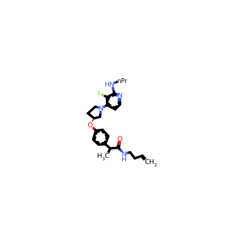 C=CCCNC(=O)C(C)c1ccc(O[C@@H]2CCN(c3ccnc(NCCC)c3F)C2)cc1